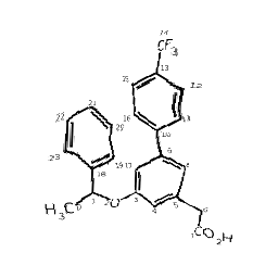 CC(Oc1cc(CC(=O)O)cc(-c2ccc(C(F)(F)F)cc2)c1)c1ccccc1